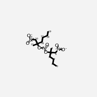 CCCCC(C)(C[N+](=O)[O-])O[N+](=O)OC(C)(CCCC)C[N+](=O)[O-]